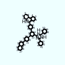 C1=CC2=c3ccccc3=C(c3ccc(-c4cc(-c5ccc(-c6ccc7ccccc7c6)cc5)cc(C5N=C(c6ccccc6)NC(c6ccccc6)N5)c4)cc3)NC2C=C1